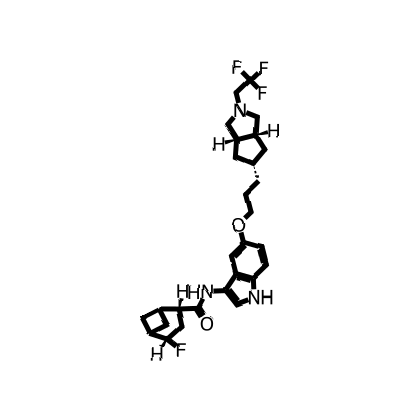 O=C(Nc1c[nH]c2ccc(OCCC[C@@H]3C[C@@H]4CN(CC(F)(F)F)C[C@@H]4C3)cc12)[C@@H]1C[C@H](F)C2CC1C2